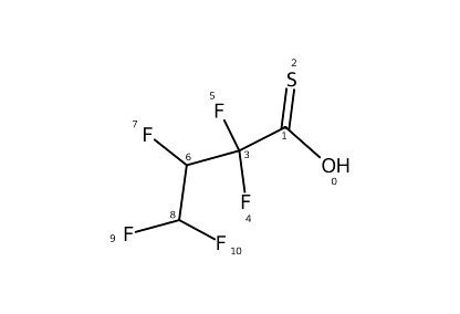 OC(=S)C(F)(F)C(F)C(F)F